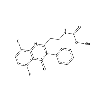 CC(C)(C)OC(=O)NCCc1nc2c(F)ccc(F)c2c(=O)n1-c1ccccc1